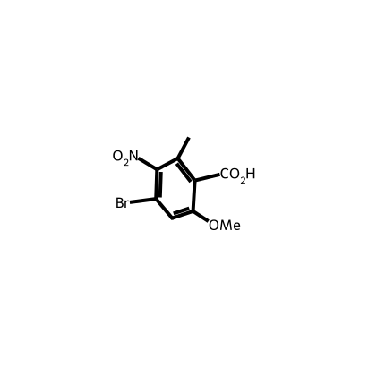 COc1cc(Br)c([N+](=O)[O-])c(C)c1C(=O)O